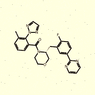 Cc1cccc(C(=O)N2CCOC[C@H]2Cc2cc(-c3ncccn3)ccc2F)c1-n1nccn1